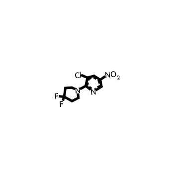 O=[N+]([O-])c1cnc(N2CCC(F)(F)CC2)c(Cl)c1